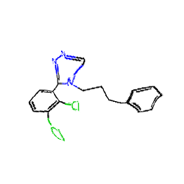 Clc1cccc(-c2nncn2CCCc2ccccc2)c1Cl